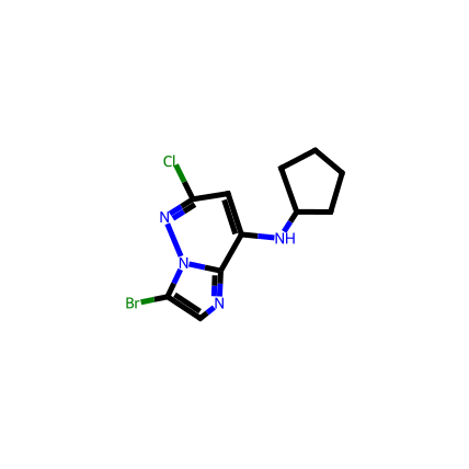 Clc1cc(NC2CCCC2)c2ncc(Br)n2n1